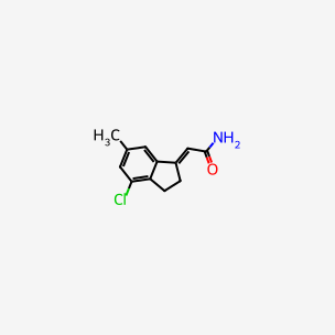 Cc1cc(Cl)c2c(c1)/C(=C/C(N)=O)CC2